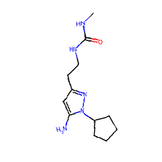 CNC(=O)NCCc1cc(N)n(C2CCCC2)n1